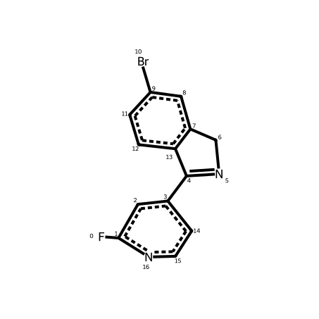 Fc1cc(C2=NCc3cc(Br)ccc32)ccn1